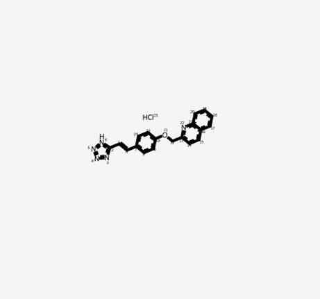 C(=Cc1nnn[nH]1)c1ccc(OCc2ccc3ccccc3n2)cc1.Cl